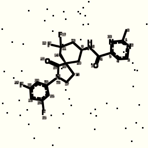 Cc1nccc(C(=O)N[C@@H]2CC(F)(F)C[C@]3(CCN(c4cc(F)cc(F)c4)C3=O)C2)n1